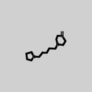 [CH](CCCN1CCNCC1)CN1CCCC1